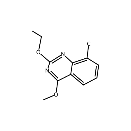 CCOc1nc(OC)c2cccc(Cl)c2n1